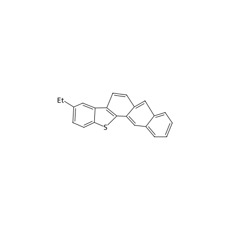 CCc1ccc2sc3c4cc5ccccc5cc4ccc3c2c1